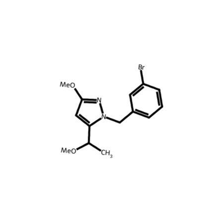 COc1cc(C(C)OC)n(Cc2cccc(Br)c2)n1